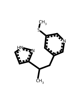 CSc1cncc(CC(C)c2cc[nH]n2)c1